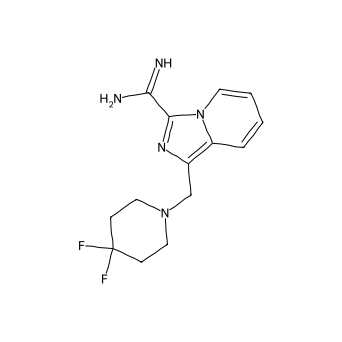 N=C(N)c1nc(CN2CCC(F)(F)CC2)c2ccccn12